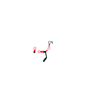 C=CC(=O)OC#N.C=O